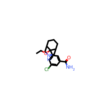 CCOC1(c2cc(Cl)cc(C(N)=O)c2)C2CCCC1CNC2